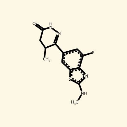 CNc1nc2c(F)cc(C3=NNC(=O)CC3C)cc2s1